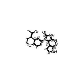 CC(=O)C1CCOc2ccc(-n3c(=O)[nH]c4nnc5[nH]ccc5c43)cc21